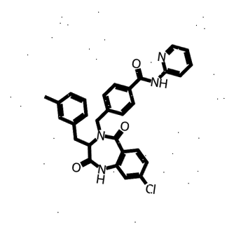 Cc1cccc(CC2C(=O)Nc3cc(Cl)ccc3C(=O)N2Cc2ccc(C(=O)Nc3ccccn3)cc2)c1